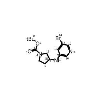 CC(C)(C)OC(=O)N1CC[C@H](Nc2cncc(Br)c2)C1